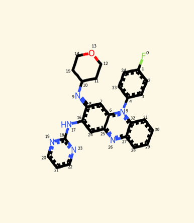 Fc1ccc(-n2c3c/c(=N\C4CCOCC4)c(Nc4ncccn4)cc-3nc3ccccc32)cc1